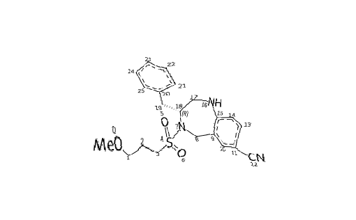 COCCCS(=O)(=O)N1Cc2cc(C#N)ccc2NC[C@H]1Cc1ccccc1